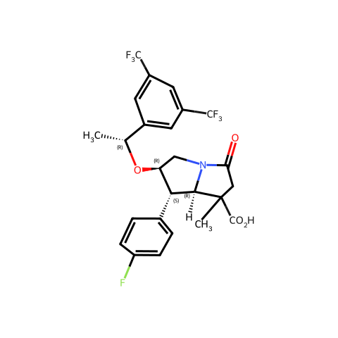 C[C@@H](O[C@H]1CN2C(=O)CC(C)(C(=O)O)[C@H]2[C@@H]1c1ccc(F)cc1)c1cc(C(F)(F)F)cc(C(F)(F)F)c1